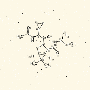 CC(=O)N[C@H](C(=O)N1C[C@H]2[C@@H](C1C(=O)N[C@@H](C)C=O)C2(C)C)C1CC1